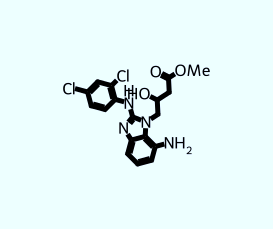 COC(=O)CC(O)Cn1c(Nc2ccc(Cl)cc2Cl)nc2cccc(N)c21